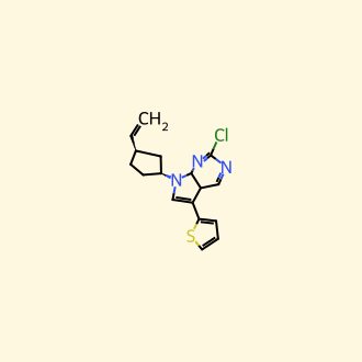 C=C[C@@H]1CC[C@H](N2C=C(c3cccs3)C3C=NC(Cl)=NC32)C1